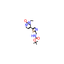 CCN1C(=O)N2CC=C(c3cnc(CNC(=O)OC(C)(C)C)s3)C1C2